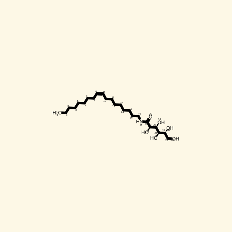 CCCCCCCC/C=C\CCCCCCCCNC(=O)[C@H](O)[C@@H](O)[C@H](O)[C@H](O)CO